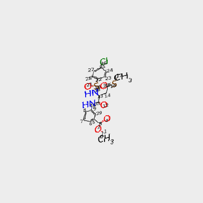 CCOC(=O)c1cccc(NC(=O)[C@H](CCSC)NS(=O)(=O)c2ccc(Cl)cc2)c1